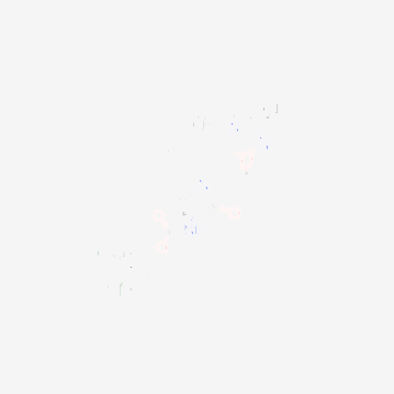 CC1=C(c2nc(C)no2)N2C(=O)[C@@H](NC(=O)OCC(Cl)(Cl)Cl)C2SC1